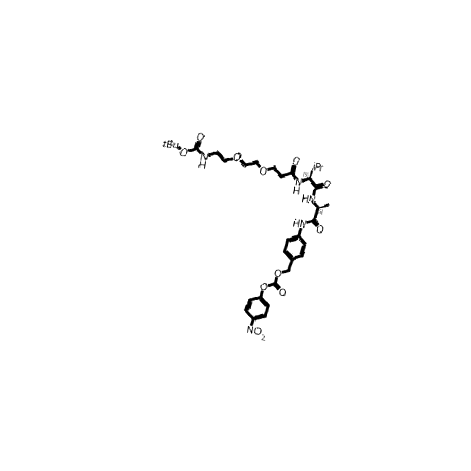 CC(C)[C@H](NC(=O)CCOCCOCCNC(=O)OC(C)(C)C)C(=O)N[C@@H](C)C(=O)Nc1ccc(COC(=O)Oc2ccc([N+](=O)[O-])cc2)cc1